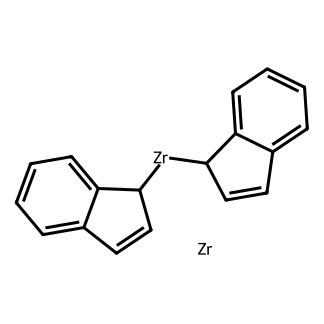 C1=C[CH]([Zr][CH]2C=Cc3ccccc32)c2ccccc21.[Zr]